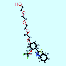 OCCOCCOCCOCCOc1ccc(-c2nc3ccccc3s2)c(OC(F)(F)F)c1